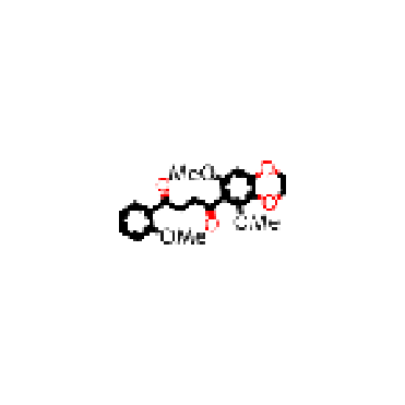 COc1ccccc1C(=O)CCC(=O)c1c(OC)cc2c(c1OC)OCCO2